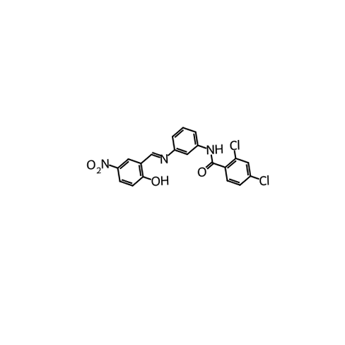 O=C(Nc1cccc(/N=C/c2cc([N+](=O)[O-])ccc2O)c1)c1ccc(Cl)cc1Cl